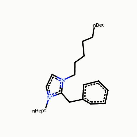 CCCCCCCCCCCCCCCn1cc[n+](CCCCCCC)c1Cc1ccccc1